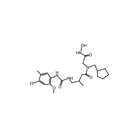 COc1cc(Cl)c(C)cc1NC(=O)NCC(C)CC(=O)N(CC(=O)NO)CC1CCCC1